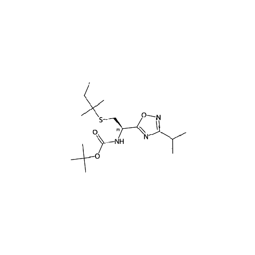 CCC(C)(C)SC[C@H](NC(=O)OC(C)(C)C)c1nc(C(C)C)no1